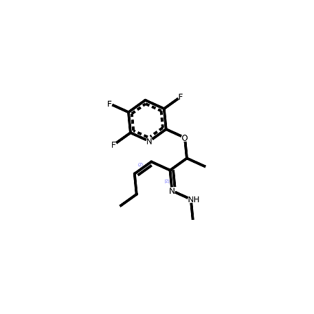 CC/C=C\C(=N\NC)C(C)Oc1nc(F)c(F)cc1F